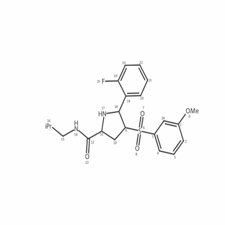 COc1cccc(S(=O)(=O)C2CC(C(=O)NCC(C)C)NC2c2ccccc2F)c1